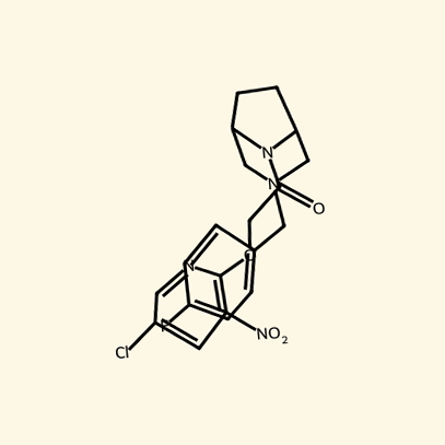 O=C(COc1ncc(Cl)cc1[N+](=O)[O-])N1C2CCC1CN(Cc1ccc(F)cc1)C2